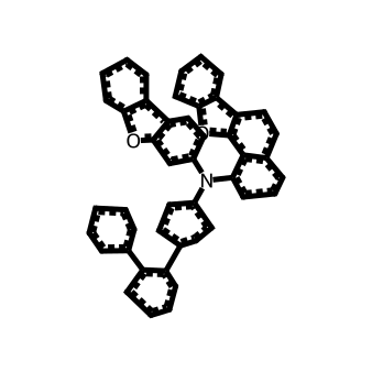 c1ccc(-c2ccccc2-c2ccc(N(c3ccc4c(c3)oc3ccccc34)c3cccc4ccc5c6ccccc6oc5c34)cc2)cc1